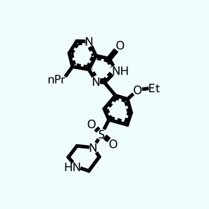 CCCc1ccnc2c(=O)[nH]c(-c3cc(S(=O)(=O)N4CCNCC4)ccc3OCC)nc12